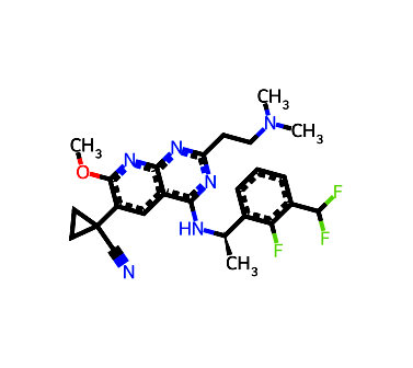 COc1nc2nc(CCN(C)C)nc(N[C@H](C)c3cccc(C(F)F)c3F)c2cc1C1(C#N)CC1